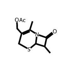 CC(=O)OCC1=C(C)N2C(=O)C(C)C2SC1